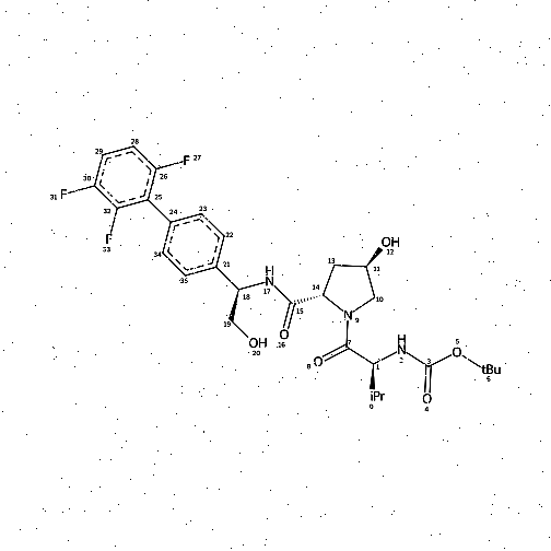 CC(C)[C@H](NC(=O)OC(C)(C)C)C(=O)N1C[C@H](O)C[C@H]1C(=O)N[C@@H](CO)c1ccc(-c2c(F)ccc(F)c2F)cc1